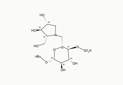 CCCCO[C@@H]1O[C@H](CN2C[C@@H](O)[C@H](O)[C@H]2CO)[C@@H](OS(=O)(=O)O)[C@H](O)[C@H]1O